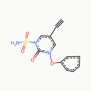 C#Cc1cn(Oc2ccccc2)c(=O)[n+](S(N)(=O)=O)c1